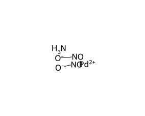 N.O=N[O-].O=N[O-].[Pd+2]